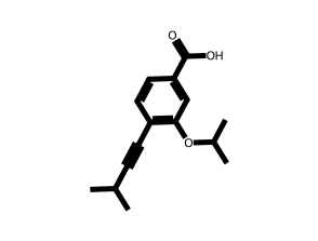 CC(C)C#Cc1ccc(C(=O)O)cc1OC(C)C